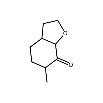 CC1CCC2CCOC2C1=O